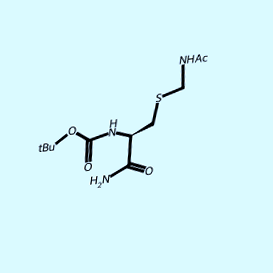 CC(=O)NCSC[C@H](NC(=O)OC(C)(C)C)C(N)=O